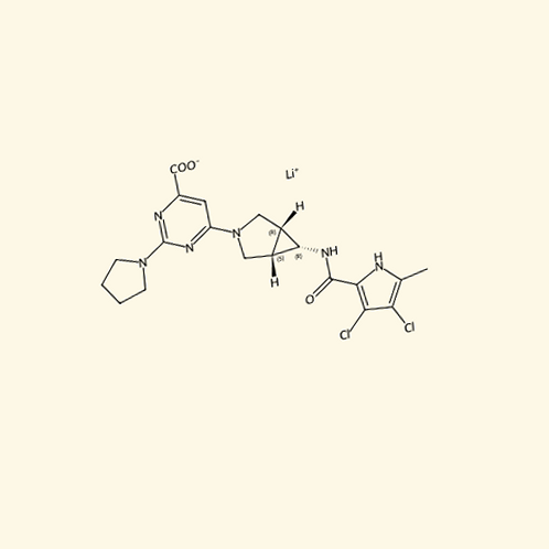 Cc1[nH]c(C(=O)N[C@@H]2[C@@H]3CN(c4cc(C(=O)[O-])nc(N5CCCC5)n4)C[C@@H]32)c(Cl)c1Cl.[Li+]